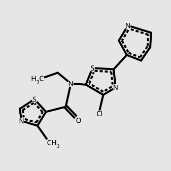 CCN(C(=O)c1scnc1C)c1sc(-c2cccnc2)nc1Cl